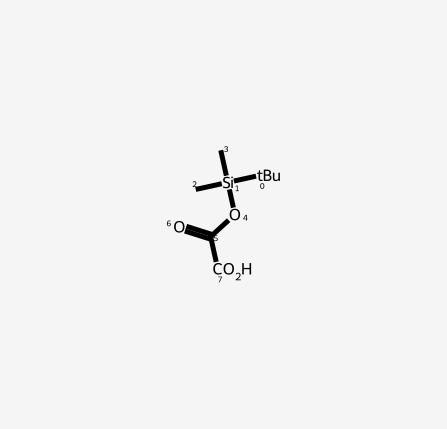 CC(C)(C)[Si](C)(C)OC(=O)C(=O)O